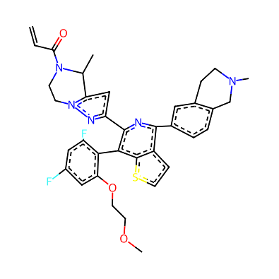 C=CC(=O)N1CCn2nc(-c3nc(-c4ccc5c(c4)CCN(C)C5)c4ccsc4c3-c3c(F)cc(F)cc3OCCOC)cc2C1C